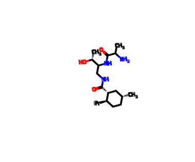 CC(N)C(=O)NC(CNC(=O)[C@@H]1C[C@H](C)CC[C@H]1C(C)C)[C@@H](C)O